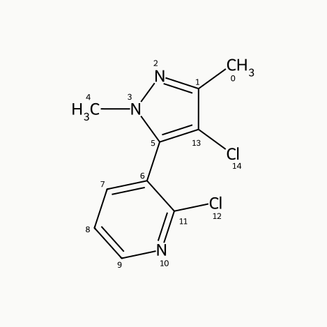 Cc1nn(C)c(-c2cccnc2Cl)c1Cl